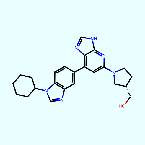 OC[C@H]1CCN(c2cc(-c3ccc4c(c3)ncn4C3CCCCC3)c3nc[nH]c3n2)C1